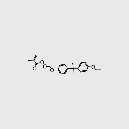 C=C(C)C(=O)OOCOc1ccc(C(C)(C)c2ccc(OCC)cc2)cc1